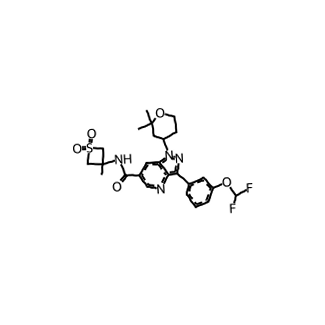 CC1(NC(=O)c2cnc3c(-c4cccc(OC(F)F)c4)nn(C4CCOC(C)(C)C4)c3c2)CS(=O)(=O)C1